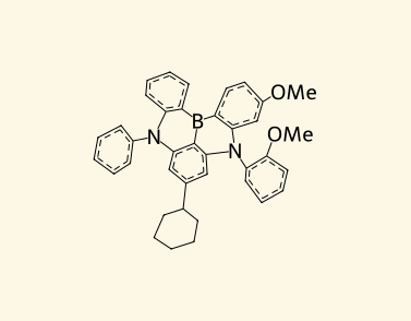 COc1ccc2c(c1)N(c1ccccc1OC)c1cc(C3CCCCC3)cc3c1B2c1ccccc1N3c1ccccc1